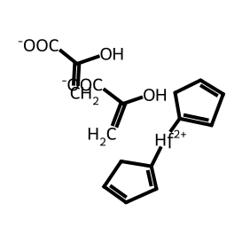 C1=CC[C]([Hf+2][C]2=CC=CC2)=C1.C=C(O)C(=O)[O-].C=C(O)C(=O)[O-]